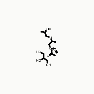 C=O.CC(C)=O.CC(O)COC(C)CO.OCC(O)CO